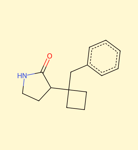 O=C1NCCC1C1(Cc2ccccc2)CCC1